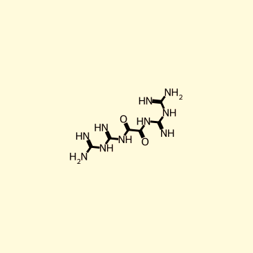 N=C(N)NC(=N)NC(=O)C(=O)NC(=N)NC(=N)N